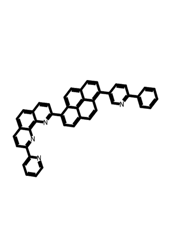 c1ccc(-c2ccc(-c3ccc4ccc5c(-c6ccc7ccc8ccc(-c9ccccn9)nc8c7n6)ccc6ccc3c4c65)cn2)cc1